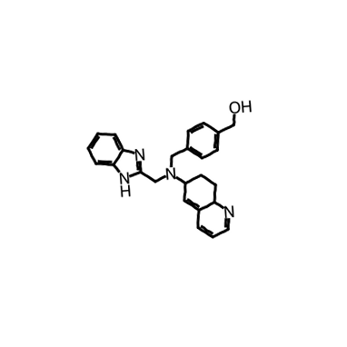 OCc1ccc(CN(Cc2nc3ccccc3[nH]2)C2C=C3C=CC=NC3CC2)cc1